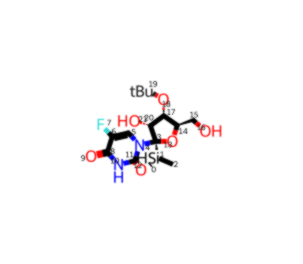 C[SiH](C)[C@@]1(n2cc(F)c(=O)[nH]c2=O)O[C@H](CO)[C@@H](OC(C)(C)C)[C@H]1O